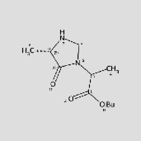 CC(C)COC(=O)C(C)N1CN[C@@H](C)C1=O